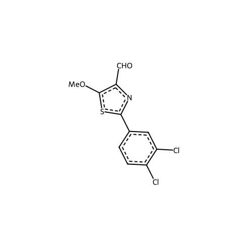 COc1sc(-c2ccc(Cl)c(Cl)c2)nc1C=O